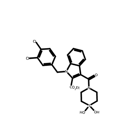 CCOC(=O)c1c(C(=O)N2CCS(O)(O)CC2)c2ccccc2n1Cc1ccc(Cl)c(Cl)c1